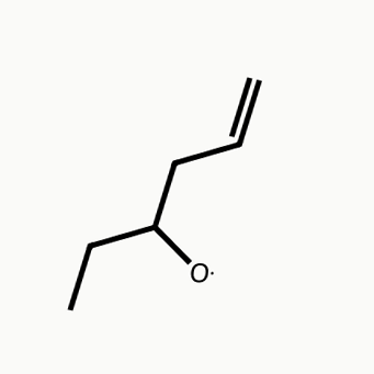 C=CCC([O])CC